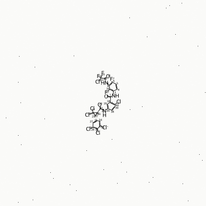 O=C(Nc1ccc(F)c(NC(=O)C(F)(F)Cl)c1F)c1cc(NC(=O)[C@H]2[C@H](c3cc(Cl)c(Cl)c(Cl)c3)C2(Cl)Cl)ccc1Cl